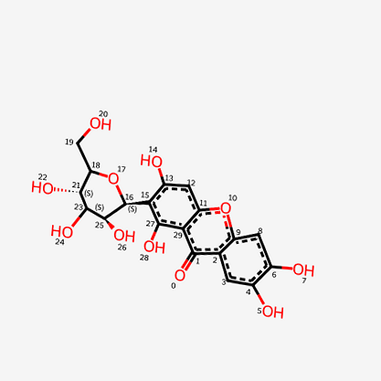 O=c1c2cc(O)c(O)cc2oc2cc(O)c([C@@H]3OC(CO)[C@@H](O)C(O)[C@@H]3O)c(O)c12